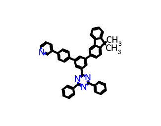 CC1(C)c2ccccc2-c2cc(-c3cc(-c4ccc(-c5cccnc5)cc4)cc(-c4nc(-c5ccccc5)nc(-c5ccccc5)n4)c3)ccc21